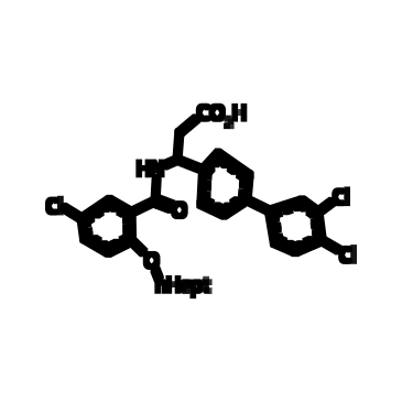 CCCCCCCOc1ccc(Cl)cc1C(=O)NC(CC(=O)O)c1ccc(-c2ccc(Cl)c(Cl)c2)cc1